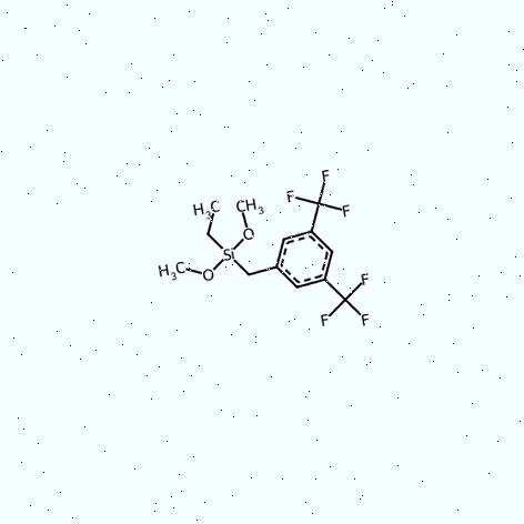 CC[Si](Cc1cc(C(F)(F)F)cc(C(F)(F)F)c1)(OC)OC